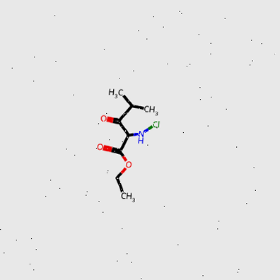 CCOC(=O)C(NCl)C(=O)C(C)C